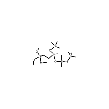 CO[Si](CC[Si](C)(O[Si](C)(C)C)O[Si](C)(C)O[SiH](C)C)(OC)OC